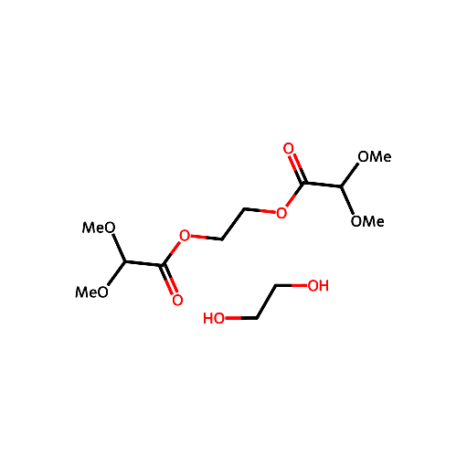 COC(OC)C(=O)OCCOC(=O)C(OC)OC.OCCO